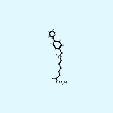 CC(CCCCCNCc1ccc(-c2nccs2)cc1)C(=O)O